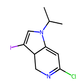 CC(C)N1C=C(I)C2CN=C(Cl)C=C21